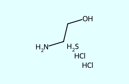 Cl.Cl.NCCO.S